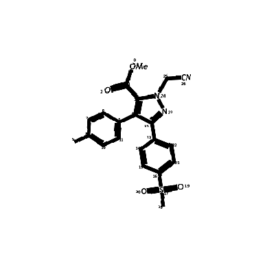 COC(=O)c1c(-c2ccc(C)cc2)c(-c2ccc(S(C)(=O)=O)cc2)nn1CC#N